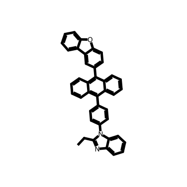 CCc1nc2ccccc2n1-c1ccc(-c2c3ccccc3c(-c3ccc4oc5ccccc5c4c3)c3ccccc23)cc1